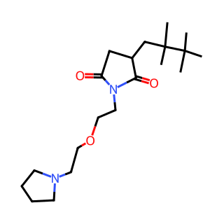 CC(C)(C)C(C)(C)CC1CC(=O)N(CCOCCN2CCCC2)C1=O